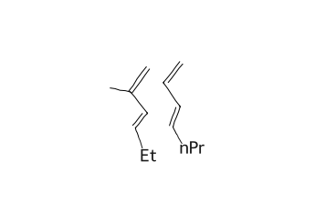 C=C(C)C=CCC.C=CC=CCCC